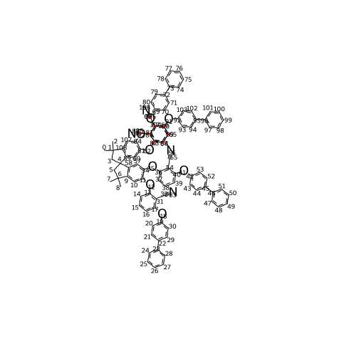 CC1(C)CC2(CC(C)(C)c3cc(Oc4cccc(Oc5ccc(-c6ccccc6)cc5)c4C#N)c(Oc4cccc(Oc5ccc(-c6ccccc6)cc5)c4C#N)cc32)c2cc(Oc3cccc(Oc4ccc(-c5ccccc5)cc4)c3C#N)c(Oc3cccc(Oc4ccc(-c5ccccc5)cc4)c3C#N)cc21